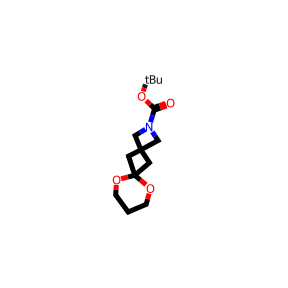 CC(C)(C)OC(=O)N1CC2(C1)CC1(C2)OCCCO1